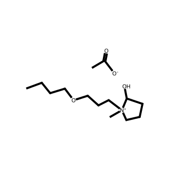 CC(=O)[O-].CCCCOCCC[N+]1(C)CCCC1O